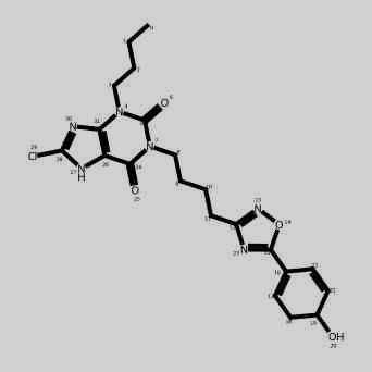 CCCCn1c(=O)n(CCCCc2noc(C3=CCC(O)C=C3)n2)c(=O)c2[nH]c(Cl)nc21